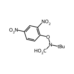 CC(C)(C)N(Oc1ccc([N+](=O)[O-])cc1[N+](=O)[O-])C(=O)O